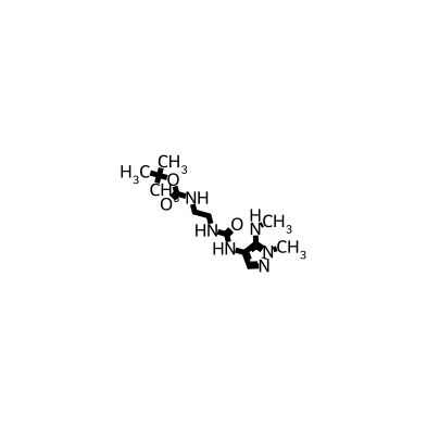 CNc1c(NC(=O)NCCNC(=O)OC(C)(C)C)cnn1C